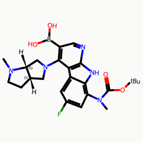 CN(C(=O)OC(C)(C)C)c1cc(F)cc2c1[nH]c1ncc(B(O)O)c(N3C[C@@H]4CCN(C)[C@@H]4C3)c12